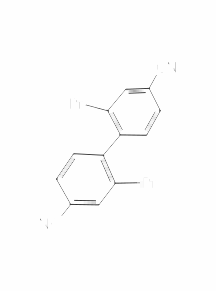 CC(C)c1cc(C#N)ccc1-c1ccc(C#N)cc1C(C)C